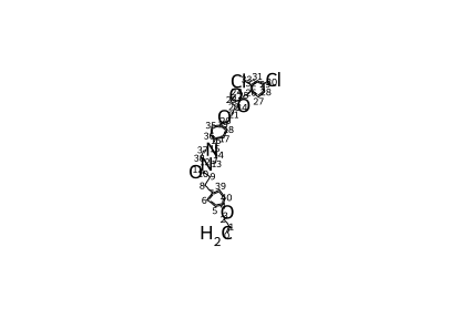 C=CCOc1ccc(CCC(=O)N2CCN(c3ccc(OCC4COC(c5ccc(Cl)cc5Cl)O4)cc3)CC2)cc1